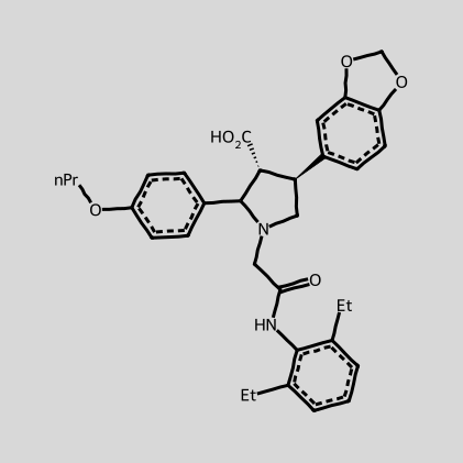 CCCOc1ccc(C2[C@H](C(=O)O)[C@@H](c3ccc4c(c3)OCO4)CN2CC(=O)Nc2c(CC)cccc2CC)cc1